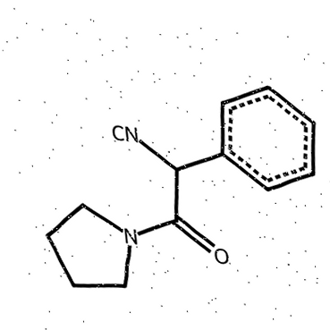 [C-]#[N+]C(C(=O)N1CCCC1)c1ccccc1